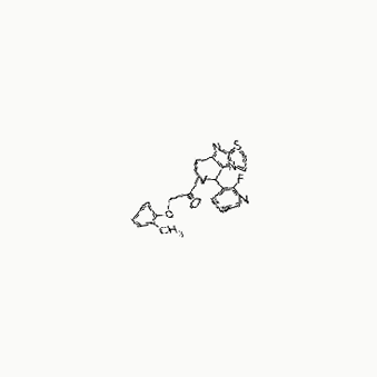 Cc1ccccc1OCC(=O)N1CCc2nc3sccn3c2C1c1cccnc1F